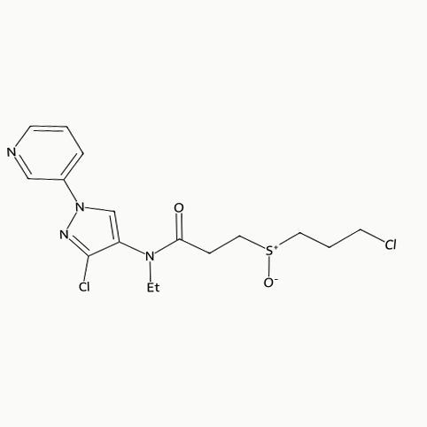 CCN(C(=O)CC[S+]([O-])CCCCl)c1cn(-c2cccnc2)nc1Cl